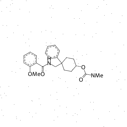 CNC(=O)OC1CCC(CNC(=O)c2ccccc2OC)(c2ccccc2)CC1